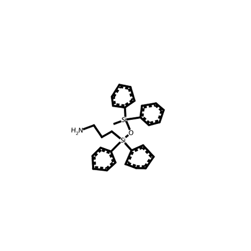 C[Si](O[Si](CCCN)(c1ccccc1)c1ccccc1)(c1ccccc1)c1ccccc1